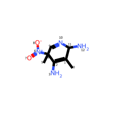 CC1=C(N)C(C)([N+](=O)[O-])C=NC1N